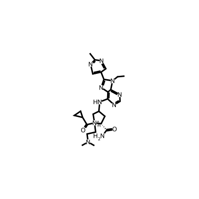 CCn1c(-c2cnc(C)nc2)nc2c(NC3C[C@H](C(N)=O)[N+](CCN(C)C)(C(=O)C4CC4)C3)ncnc21